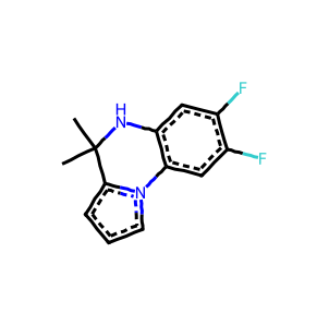 CC1(C)Nc2cc(F)c(F)cc2-n2cccc21